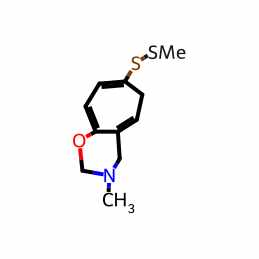 CSSC1=CC=C2OCN(C)CC2=CC1